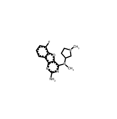 CN1CCC(N(C)c2nc(N)nc3c2oc2c(F)cccc23)C1